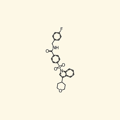 O=C(NCc1ccc(F)cc1)c1ccc(S(=O)(=O)n2cc(C3CCOCC3)c3ccccc32)cc1